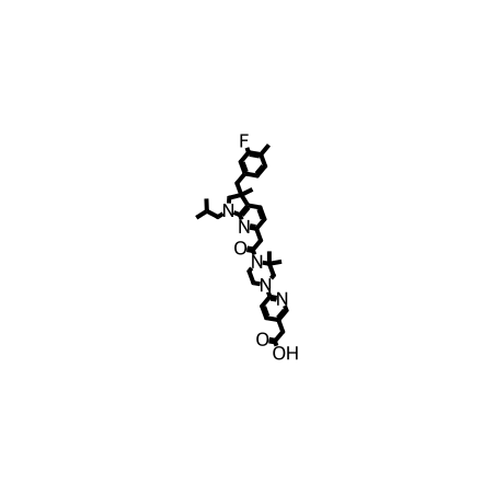 Cc1ccc(CC2(C)CN(CC(C)C)c3nc(CC(=O)N4CCN(c5ccc(CC(=O)O)cn5)CC4(C)C)ccc32)cc1F